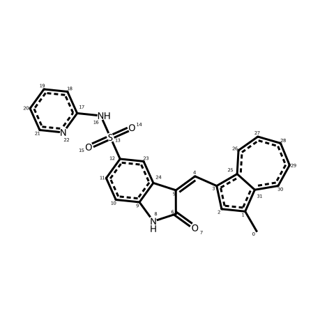 Cc1cc(C=C2C(=O)Nc3ccc(S(=O)(=O)Nc4ccccn4)cc32)c2cccccc1-2